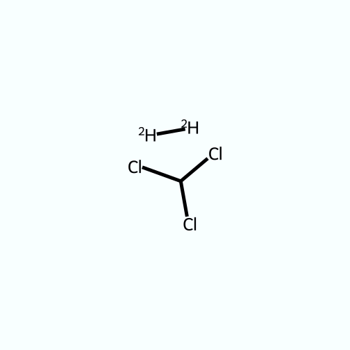 ClC(Cl)Cl.[2H][2H]